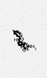 Cc1cc2cc(C(=O)Nc3ccc(F)c(C4(C)CC(=O)N(C)C(N)=N4)c3)ncn2c1